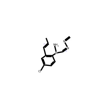 C=N/N=C\N(N)c1ccc(Cl)cc1/C=C/C